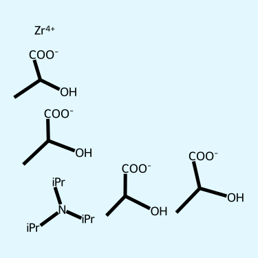 CC(C)N(C(C)C)C(C)C.CC(O)C(=O)[O-].CC(O)C(=O)[O-].CC(O)C(=O)[O-].CC(O)C(=O)[O-].[Zr+4]